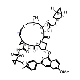 COc1ccc2c(O[C@@H]3C[C@H]4C(=O)N[C@]5(C(=O)NS(=O)(=O)C6(C)CC6)CC5/C=C\CC[C@H](C)C[C@@H](C)[C@H](NC(=O)O[C@@H]5C[C@@H]6C[C@@H]6C5)C(=O)N4C3)nc(-c3ccc(F)cc3)cc2c1